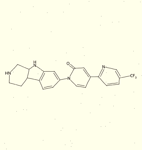 O=c1cc(-c2ccc(C(F)(F)F)cn2)ccn1-c1ccc2c(c1)NC1CNCCC21